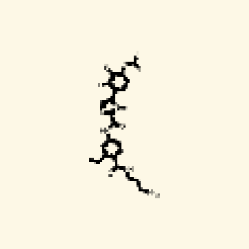 CCc1cc(NC(=O)c2ncc(-c3ccc(OC(F)F)c(F)c3F)n2C)ccc1C(=O)NCCCN